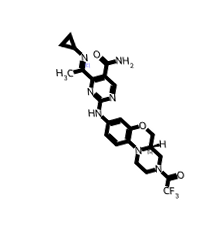 C/C(=N\C1CC1)c1nc(Nc2ccc3c(c2)OC[C@@H]2CN(C(=O)C(F)(F)F)CCN32)ncc1C(N)=O